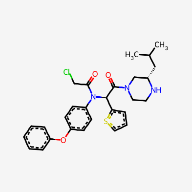 CC(C)C[C@H]1CN(C(=O)[C@@H](c2cccs2)N(C(=O)CCl)c2ccc(Oc3ccccc3)cc2)CCN1